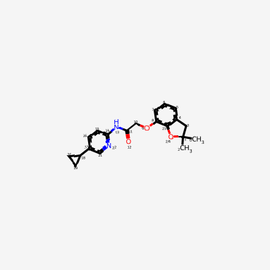 CC1(C)Cc2cccc(OCC(=O)Nc3ccc(C4CC4)cn3)c2O1